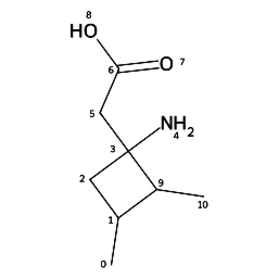 CC1CC(N)(CC(=O)O)C1C